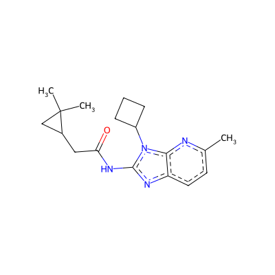 Cc1ccc2nc(NC(=O)CC3CC3(C)C)n(C3CCC3)c2n1